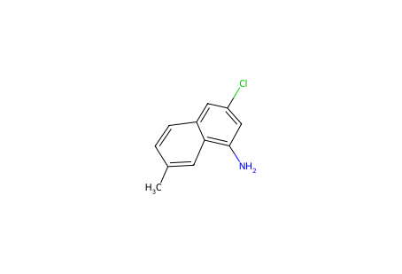 Cc1ccc2cc(Cl)cc(N)c2c1